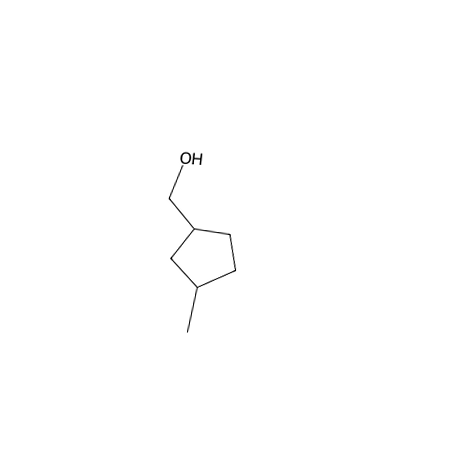 CC1CCC(CO)C1